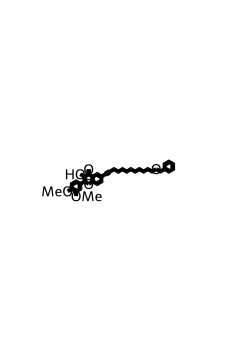 COc1ccc(-c2oc3ccc(C#CCCCCCCCCCCOCc4ccccc4)cc3c(=O)c2O)cc1OC